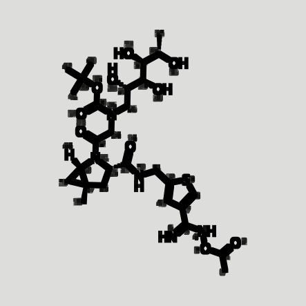 CC(=O)ONC(=N)c1csc(CNC(=O)[C@@H]2C[C@]3(C)C[C@@H]3N2C(=O)CN(C[C@H](O)[C@H](O)[C@@H](O)[C@H](C)O)C(=O)OC(C)(C)C)c1